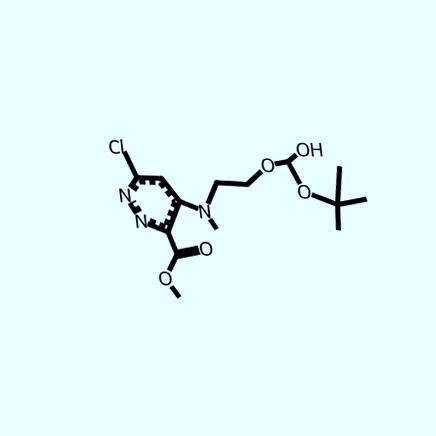 COC(=O)c1nnc(Cl)cc1N(C)CCOC(O)OC(C)(C)C